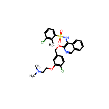 Cc1c(Cl)cccc1S(=O)(=O)Nc1c(OCc2ccc(Cl)c(OCCN(C)C)c2)ncc2ccccc12